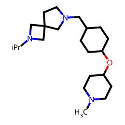 CC(C)N1CC2(CCN(CC3CCC(OC4CCN(C)CC4)CC3)C2)C1